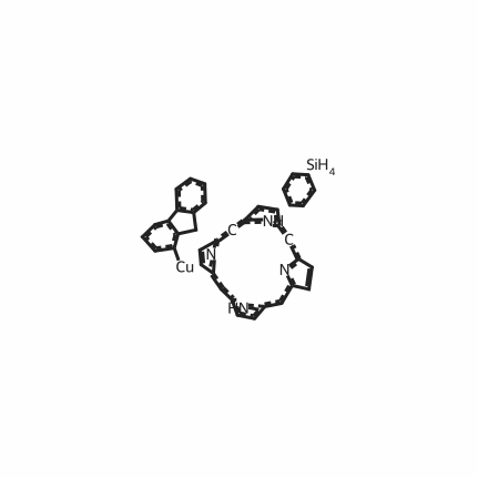 C1=Cc2cc3ccc(cc4nc(cc5ccc(cc1n2)[nH]5)C=C4)[nH]3.[Cu][c]1cccc2c1Cc1ccccc1-2.[SiH4].c1ccccc1